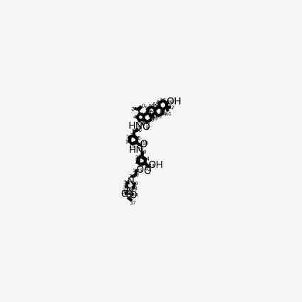 C=C(C)[C@@H]1CC[C@]2(C(=O)NCCc3cccc(C(=O)NCc4ccc(OCCCN5CCN(S(=O)(=O)CC)CC5)c(C(=O)O)c4)c3)CC[C@]3(C)C(CCC4[C@@]5(C)CC[C@H](O)C(C)(C)C5CC[C@]43C)C12